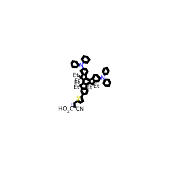 CCC1(CC)c2cc(N(c3ccccc3)c3ccccc3)ccc2-c2c3c(c4c(c21)-c1ccc(-c2ccc(/C=C(\C#N)C(=O)O)s2)cc1C4(CC)CC)C(CC)(CC)c1cc(N(c2ccccc2)c2ccccc2)ccc1-3